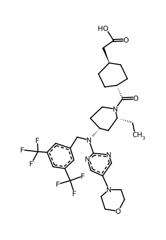 CC[C@@H]1C[C@H](N(Cc2cc(C(F)(F)F)cc(C(F)(F)F)c2)c2ncc(N3CCOCC3)cn2)CCN1C(=O)[C@H]1CC[C@H](CC(=O)O)CC1